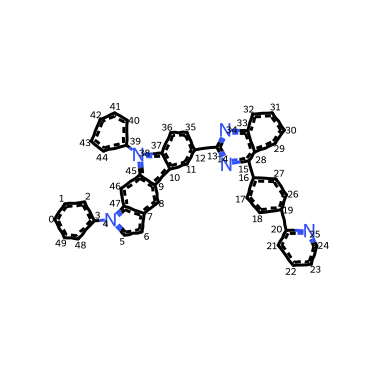 c1ccc(-n2ccc3cc4c5cc(-c6nc(-c7ccc(-c8ccccn8)cc7)c7ccccc7n6)ccc5n(-c5ccccc5)c4cc32)cc1